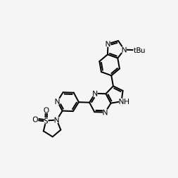 CC(C)(C)n1cnc2ccc(-c3c[nH]c4ncc(-c5ccnc(N6CCCS6(=O)=O)c5)nc34)cc21